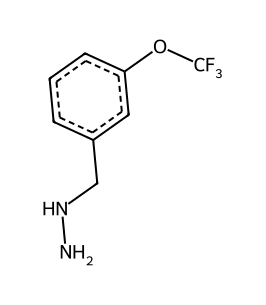 NNCc1cccc(OC(F)(F)F)c1